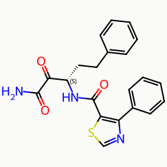 NC(=O)C(=O)[C@H](CCc1ccccc1)NC(=O)c1scnc1-c1ccccc1